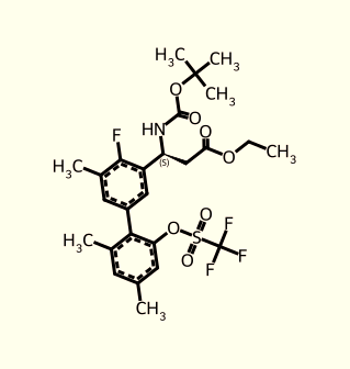 CCOC(=O)C[C@H](NC(=O)OC(C)(C)C)c1cc(-c2c(C)cc(C)cc2OS(=O)(=O)C(F)(F)F)cc(C)c1F